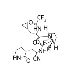 N#C[C@@H](C[C@H]1CCCNC1=O)NC(=O)[C@H]1[C@@H]2CC[C@@H](CC2(F)F)N1C(=O)[C@H](CC1CC1)NC(=O)C(F)(F)F